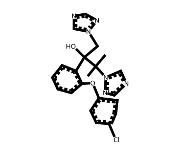 CC(C)(n1cncn1)C(O)(Cn1cncn1)c1ccccc1Oc1ccc(Cl)cc1